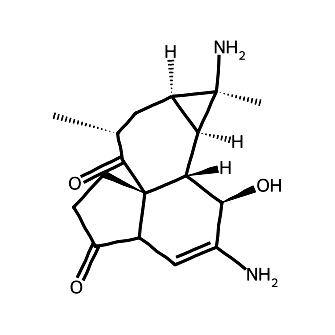 C[C@@H]1C[C@@H]2[C@H]([C@@H]3[C@@H](O)C(N)=CC4C(=O)CC[C@]43C1=O)[C@]2(C)N